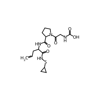 C=CCC(NC(=O)C1CCCN1C(=O)CNC(=O)O)C(=O)NSC1CC1